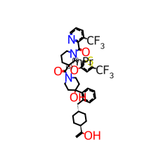 C=C(O)[C@H]1CC[C@H](Cc2ccccc2C2(O)CCN(C(=O)[C@]3(Oc4csc(C(F)(F)F)c4)CCCN(C(=O)c4ncccc4C(F)(F)F)[C@@H]3CCC)CC2)CC1